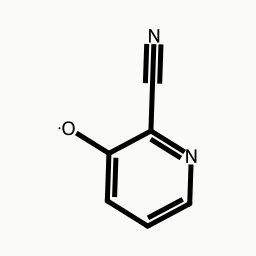 N#Cc1ncccc1[O]